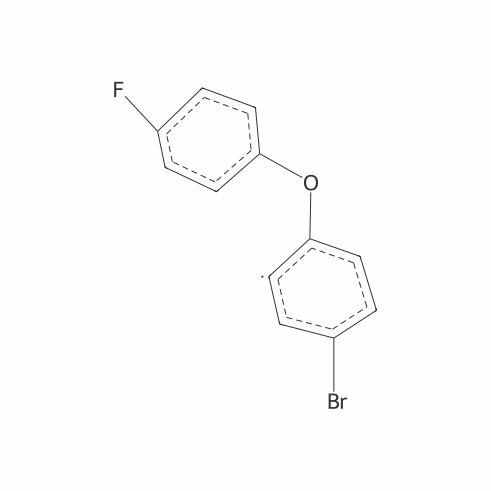 Fc1ccc(Oc2[c]cc(Br)cc2)cc1